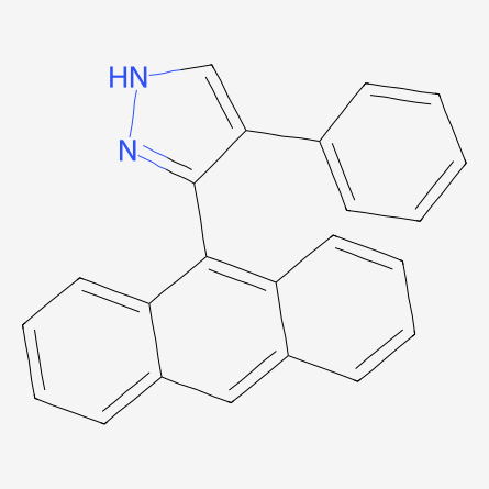 c1ccc(-c2c[nH]nc2-c2c3ccccc3cc3ccccc23)cc1